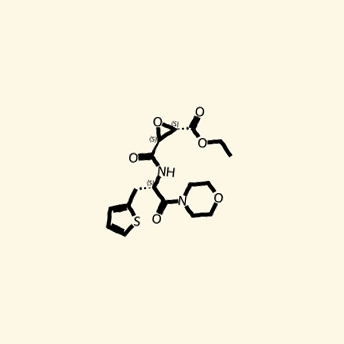 CCOC(=O)[C@H]1O[C@@H]1C(=O)N[C@@H](Cc1cccs1)C(=O)N1CCOCC1